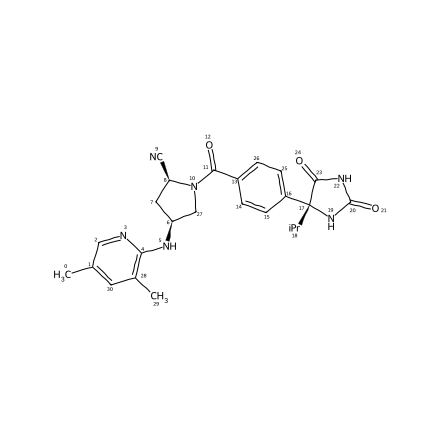 Cc1cnc(N[C@H]2C[C@@H](C#N)N(C(=O)c3ccc([C@@]4(C(C)C)NC(=O)NC4=O)cc3)C2)c(C)c1